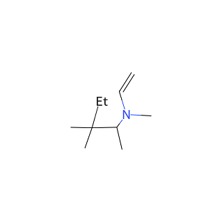 C=CN(C)C(C)C(C)(C)CC